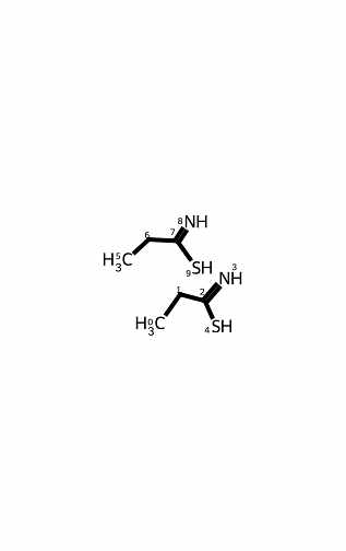 CCC(=N)S.CCC(=N)S